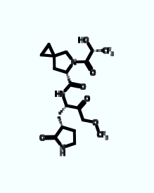 O=C1NCC[C@H]1C[C@H](NC(=O)[C@@H]1CC2(CC2)CN1C(=O)[C@H](O)C(F)(F)F)C(=O)COC(F)(F)F